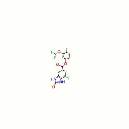 Cc1ccc(OC(=O)c2cc(F)c3[nH]c(=O)[nH]c3c2)cc1OC(F)F